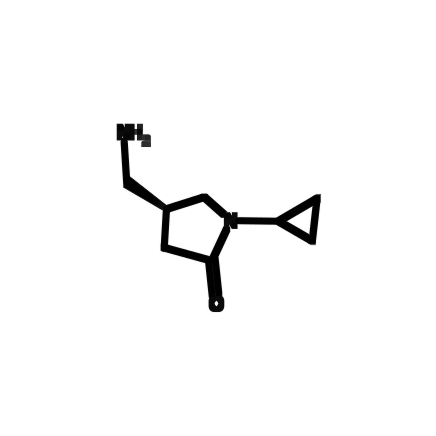 NC[C@@H]1CC(=O)N(C2CC2)C1